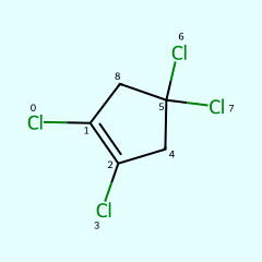 ClC1=C(Cl)CC(Cl)(Cl)C1